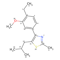 CCc1ccc(-c2nc(C)sc2CC(C)C)cc1OC